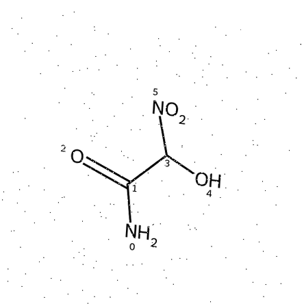 NC(=O)C(O)[N+](=O)[O-]